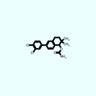 CC1(C)CCc2cc(-c3ccc(Cl)c(Cl)c3)ccc2C1OC(N)=O